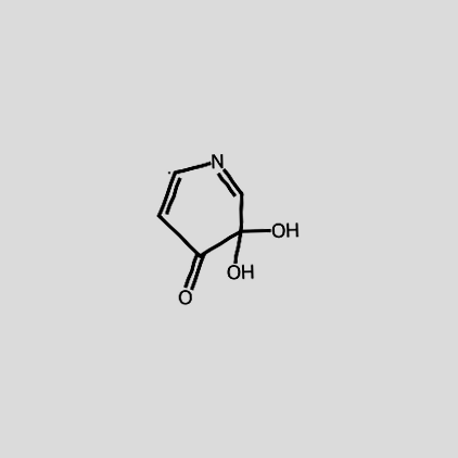 O=C1C=[C]N=CC1(O)O